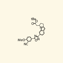 COc1ccc(-c2nc(-c3ccc4cc5n(c4c3)C(CC(=O)OC(C)(C)C)CC5)no2)cc1C#N